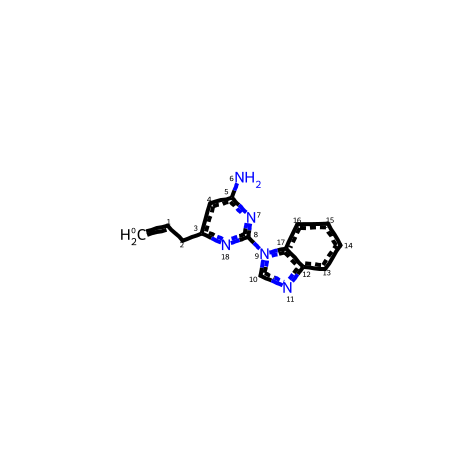 C=CCc1cc(N)nc(-n2cnc3ccccc32)n1